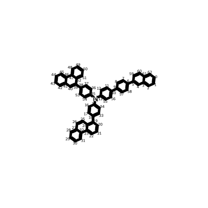 c1ccc2cc(-c3ccc(-c4ccc(N(c5ccc(-c6cccc7c6ccc6ccccc67)cc5)c5ccc(-c6cc7ccccc7c7ccccc67)cc5)cc4)cc3)ccc2c1